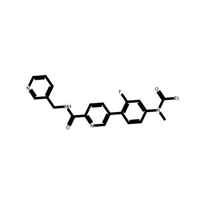 CCC(=O)N(C)c1ccc(-c2ccc(C(=O)NCc3cccnc3)nc2)c(F)c1